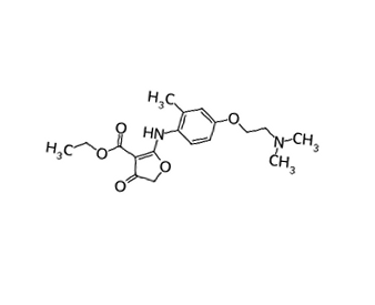 CCOC(=O)C1=C(Nc2ccc(OCCN(C)C)cc2C)OCC1=O